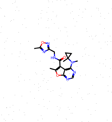 Cc1nc(CNC(=O)c2c(C)oc3ncnc(N(C)C4(C)CC4)c23)no1